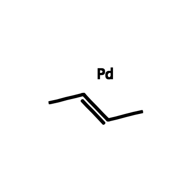 CC=CC.[Pd]